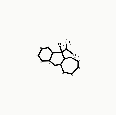 BC1(C(C)C)C2CCCCCC2CC2CCCCC21